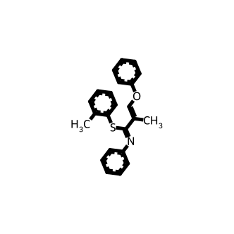 CC(=C\Oc1ccccc1)/C(=N/c1ccccc1)Sc1ccccc1C